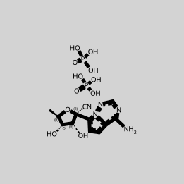 C[C@H]1O[C@@](C#N)(c2ccc3c(N)ncnn23)[C@H](O)[C@@H]1O.O=P(O)(O)O.O=P(O)(O)O